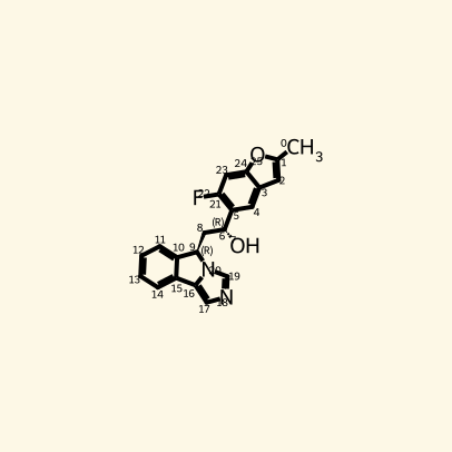 Cc1cc2cc([C@H](O)C[C@@H]3c4ccccc4-c4cncn43)c(F)cc2o1